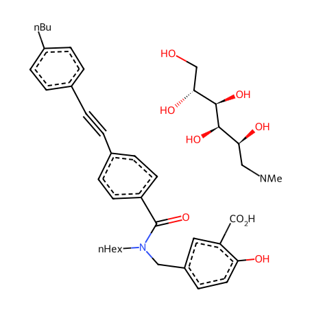 CCCCCCN(Cc1ccc(O)c(C(=O)O)c1)C(=O)c1ccc(C#Cc2ccc(CCCC)cc2)cc1.CNC[C@H](O)[C@@H](O)[C@H](O)[C@H](O)CO